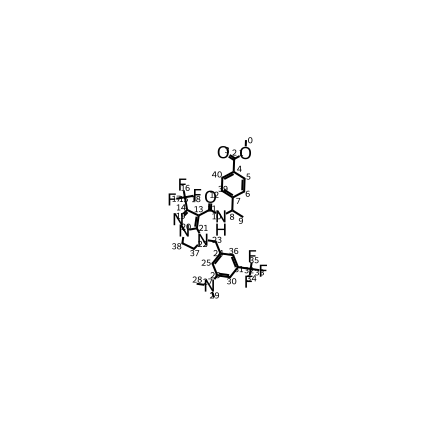 COC(=O)c1ccc(C(C)NC(=O)c2c(C(F)(F)F)nn3c2N(Cc2cc(N(C)C)cc(C(F)(F)F)c2)CC3)cc1